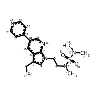 CC(C)Cc1cn(CCN(C)S(=O)(=O)N(C)C)c2ncc(-c3ccncc3)cc12